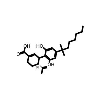 C=C(C)[C@@H]1CCC(C(=O)O)=CC1c1c(O)cc(C(C)(C)CCCCCC)cc1O